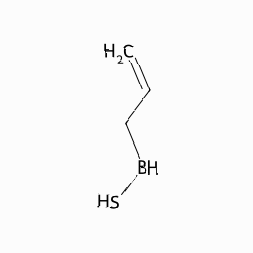 C=CCBS